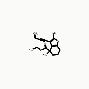 C=CC#Cc1c(N)sc2c1C(C)(C(=O)OCC)CCC2